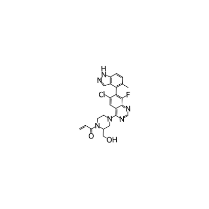 C=CC(=O)N1CCN(c2ncnc3c(F)c(-c4c(C)ccc5[nH]ncc45)c(Cl)cc23)CC1CO